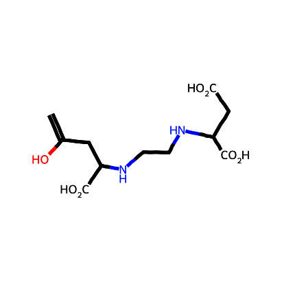 C=C(O)CC(NCCNC(CC(=O)O)C(=O)O)C(=O)O